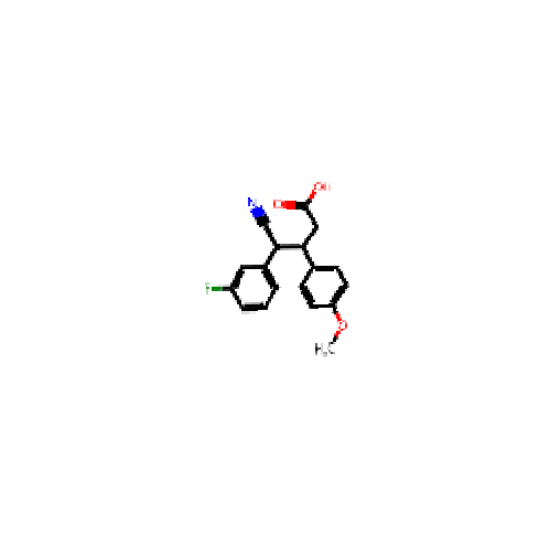 COc1ccc(C(CC(=O)O)C(C#N)c2cccc(F)c2)cc1